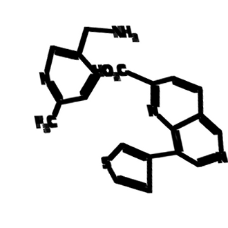 NCc1ccc(C(F)(F)F)nc1.O=C(O)c1ccc2cncc(-c3ccsc3)c2n1